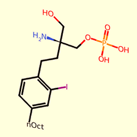 CCCCCCCCc1ccc(CC[C@](N)(CO)COP(=O)(O)O)c(I)c1